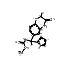 CC1Oc2ccc(C(C)(NC(=O)OC(C)(C)C)c3cccs3)cc2NC1=S